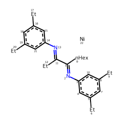 CCCCCCC(=N\c1cc(CC)cc(CC)c1)/C(CC)=N/c1cc(CC)cc(CC)c1.[Ni]